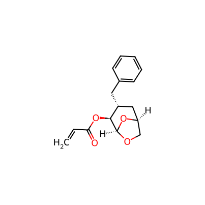 C=CC(=O)O[C@H]1[C@H](Cc2ccccc2)C[C@H]2CO[C@@H]1O2